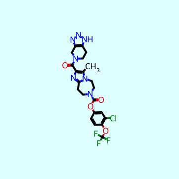 Cc1c(C(=O)N2CCc3[nH]nnc3C2)nc2n1CCN(C(=O)Oc1ccc(OC(F)(F)F)c(Cl)c1)CC2